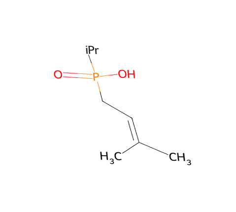 CC(C)=CCP(=O)(O)C(C)C